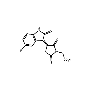 O=C(O)CN1C(=O)C(=C2C(=O)Nc3ccc(F)cc32)SC1=S